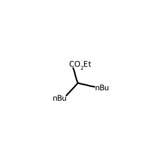 CCCCC(CCCC)C(=O)OCC